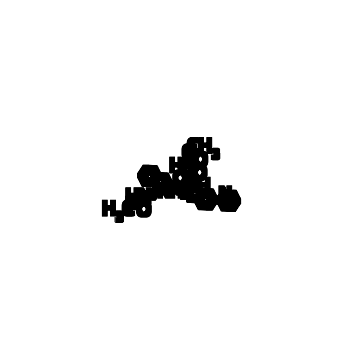 COC(=O)NCCNC(CCN(Cc1ccc(-c2ccccn2)cc1)NC(=O)C(=O)NC(=O)OC)Cc1ccccc1